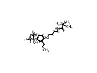 CCCc1cc(C(O)(C(F)(F)F)C(F)(F)F)ccc1OCCCCNC(=O)C(C)(C)N